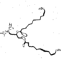 CCCC/C=C\CCCCCCCC(=O)OCC(CN(C)C)OC(=O)CCCCCCC/C=C\CCCC